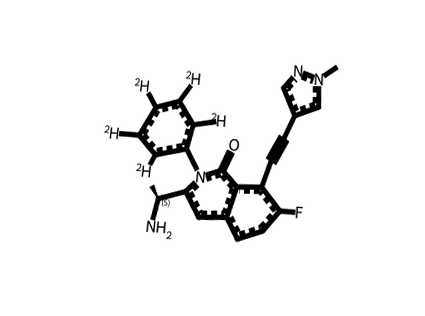 [2H]c1c([2H])c([2H])c(-n2c([C@H](C)N)cc3ccc(F)c(C#Cc4cnn(C)c4)c3c2=O)c([2H])c1[2H]